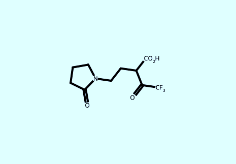 O=C(O)C(CCN1CCCC1=O)C(=O)C(F)(F)F